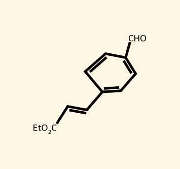 CCOC(=O)C=Cc1ccc(C=O)cc1